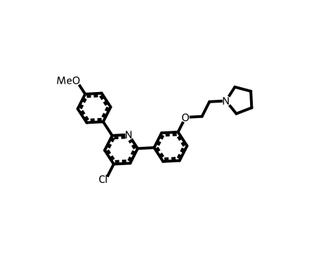 COc1ccc(-c2cc(Cl)cc(-c3cccc(OCCN4CCCC4)c3)n2)cc1